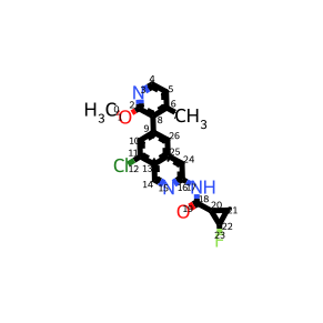 COc1nccc(C)c1-c1cc(Cl)c2cnc(NC(=O)C3CC3F)cc2c1